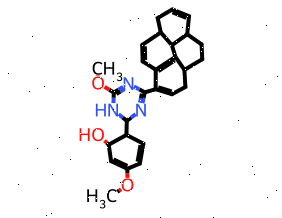 COC1=CC(O)C(C2N=C(C3=CCC4CCC5C=CCC6C=CC3=C4C65)N=C(OC)N2)C=C1